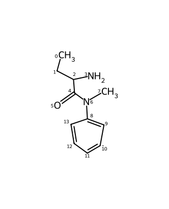 CCC(N)C(=O)N(C)c1c[c]ccc1